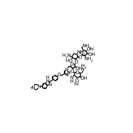 CN1CCN(c2ccc3nc(-c4ccc(OCc5cn(C[C@H]6OC(O[C@@H]7C(O)[C@H](N)CC(N)[C@H]7O[C@H]7OC(CN)[C@@H](O)[C@H](O)C7N)[C@@H](O)[C@H]6O[C@H]6O[C@@H](CN)[C@@H](O)C(O)C6N)nn5)cc4)[nH]c3c2)CC1